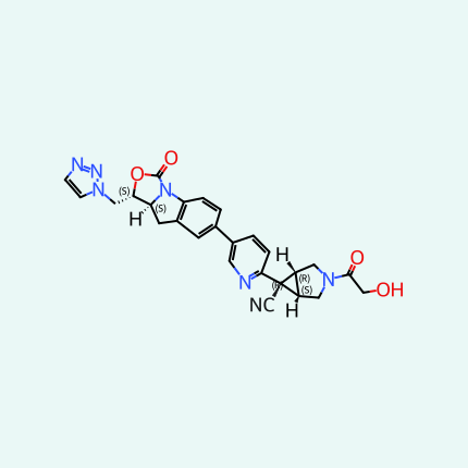 N#C[C@@]1(c2ccc(-c3ccc4c(c3)C[C@H]3[C@H](Cn5ccnn5)OC(=O)N43)cn2)[C@@H]2CN(C(=O)CO)C[C@@H]21